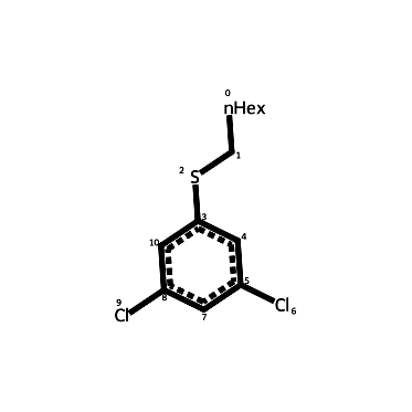 CCCCCCCSc1cc(Cl)cc(Cl)c1